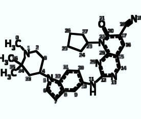 CN1CCC(n2ccc3cc(Nc4ncc5cc(C#N)c(=O)n(C6CCCC6)c5n4)ccc32)CC1(C)C